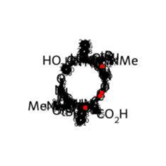 CN[C@@H](C)C(=O)N[C@H](C(=O)N1C[C@@H]2C[C@H]1C(=O)N[C@@H](Cc1ccc3ccccc3c1)C(=O)N[C@H](C(=O)O)Cc1ccc(cc1)OCc1cn(cn1)[C@H]1C[C@@H](C(=O)N[C@@H](Cc3ccc4ccccc4c3)C(=O)N[C@H](C(=O)N3CC(C(=O)O)C3)Cc3ccc(cc3)OCc3cn2nn3)N(C(=O)[C@@H](NC(=O)[C@H](C)NC)C(C)(C)C)C1)C(C)(C)C